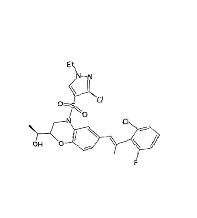 CCn1cc(S(=O)(=O)N2CC([C@H](C)O)Oc3ccc(/C=C(\C)c4c(F)cccc4Cl)cc32)c(Cl)n1